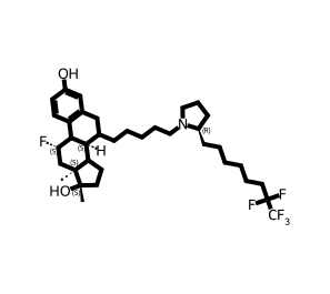 C[C@]1(O)CCC2[C@@H]3C(CCCCCN4CCC[C@H]4CCCCCCC(F)(F)C(F)(F)F)Cc4cc(O)ccc4C3[C@@H](F)C[C@@]21C